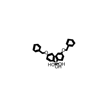 OP(O)(O)(c1ccc(OCc2ccccc2)cc1)c1ccc(OCc2ccccc2)cc1